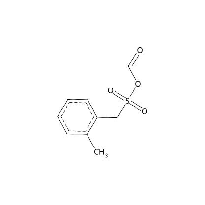 Cc1ccccc1CS(=O)(=O)OC=O